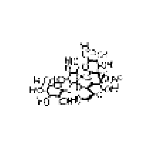 CC(=O)NC1C(O)OC(CO)C(OC2OC(CO)C(O)C(O)C2OC2OC(C)C(O)C(O)C2O)C1OC1OC(C)C(O)C(O)C1O